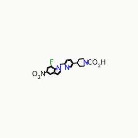 O=C(O)N1CCC(c2ccc(Cn3ccc4cc([N+](=O)[O-])cc(F)c43)nc2)CC1